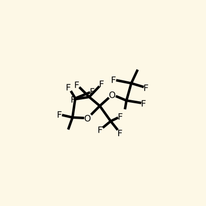 CC(F)(OC(OC(C)(F)C(C)(F)F)(C(F)(F)F)C(F)(F)F)C(F)F